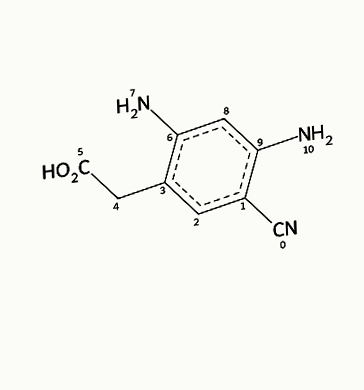 N#Cc1cc(CC(=O)O)c(N)cc1N